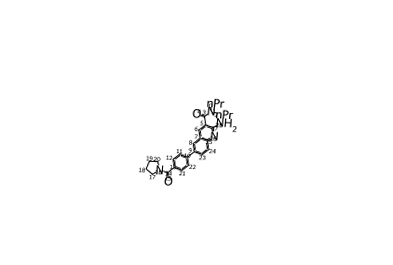 CCCN(CCC)C(=O)c1cc2cc(-c3ccc(C(=O)N4CCCC4)cc3)ccc2nc1N